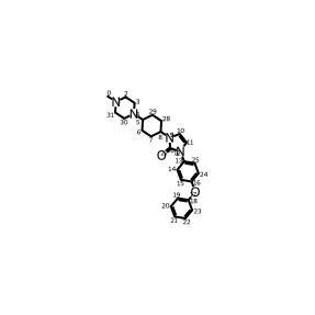 CN1CCN(C2CCC(n3ccn(-c4ccc(Oc5ccccc5)cc4)c3=O)CC2)CC1